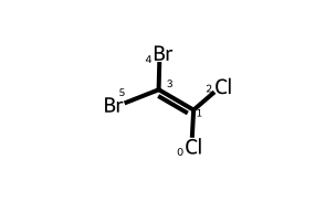 ClC(Cl)=C(Br)Br